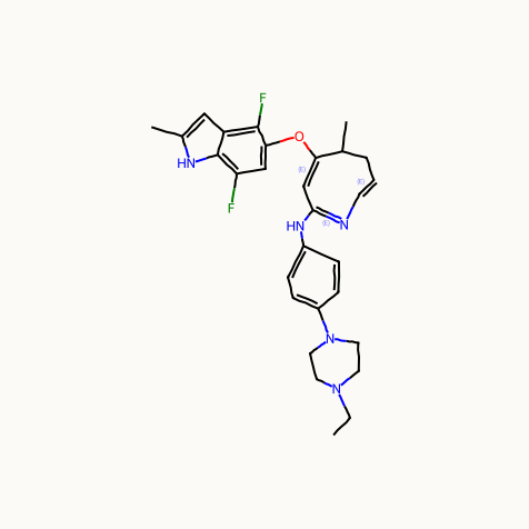 CCN1CCN(c2ccc(NC3=N/C=C/CC(C)/C(Oc4cc(F)c5[nH]c(C)cc5c4F)=C\3)cc2)CC1